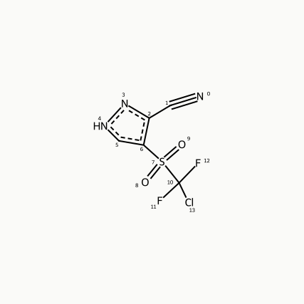 N#Cc1n[nH]cc1S(=O)(=O)C(F)(F)Cl